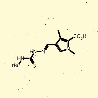 Cc1c(C=NNC(=S)NC(C)(C)C)cn(C)c1C(=O)O